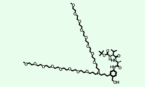 COCCOCCOCCOCCOCCOCCOCCOCCCN(CCCOCCOCCOCCOCCOCCOCCOCCOC)CCCc1cc(NC(=O)[C@H](C)NC(=O)[C@@H](NC(=O)OC(C)(C)C)C(C)C)ccc1CO